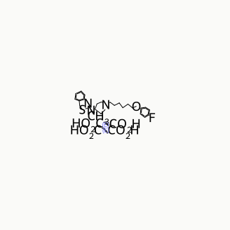 CN(C1=Nc2ccccc2CS1)C1CCN(CCCCCCOc2ccc(F)cc2)CC1.O=C(O)/C=C/C(=O)O.O=C(O)/C=C/C(=O)O